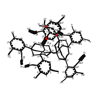 C#Cc1c(C)cc(C)cc1C12CC3(c4cc(C)cc(C)c4C#C)CC(c4cc(C)cc(C)c4C#C)(C1)CC(C14CC5(c6cc(C)cc(C)c6C#C)CC(c6cc(C)cc(C)c6C#C)(CC(c6cc(C)cc(C)c6C#C)(C5)C1)C4)(C2)C3